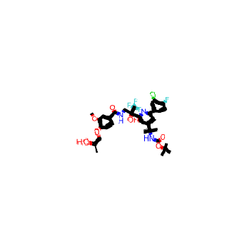 COc1cc(C(=O)NCC(O)(c2cc(C(C)(C)NC(=O)OC(C)(C)C)cc(-c3ccc(F)c(Cl)c3)n2)C(F)(F)F)ccc1OC[C@@H](C)O